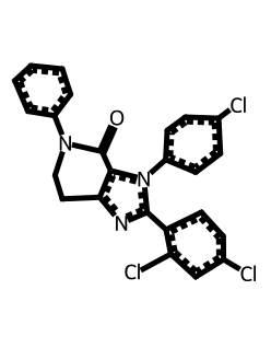 O=C1c2c(nc(-c3ccc(Cl)cc3Cl)n2-c2ccc(Cl)cc2)CCN1c1ccccc1